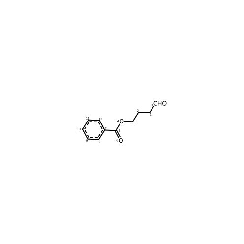 O=CCCCOC(=O)c1ccccc1